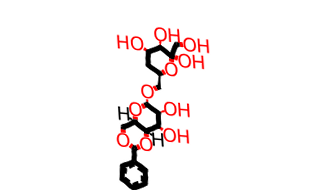 OCC1(O)O[C@@H](CO[C@H]2O[C@@H]3COC(c4ccccc4)O[C@@H]3[C@H](O)[C@H]2O)C[C@@H](O)[C@@H]1O